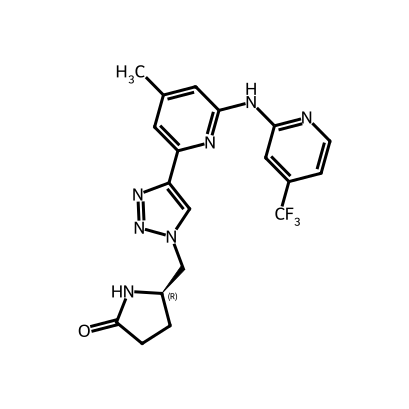 Cc1cc(Nc2cc(C(F)(F)F)ccn2)nc(-c2cn(C[C@H]3CCC(=O)N3)nn2)c1